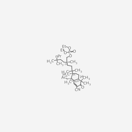 CCCC(C)(C)CC[C@@](C)(CCC(C)(C)[C@]1(C)CC[C@H]2C(C)(C)C(=O)C(C#N)=C[C@]2(C)[C@H]1CC(C)=O)COP(=O)(OCC)OCC